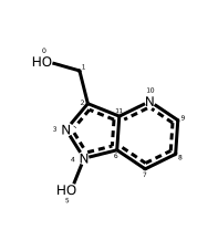 OCc1nn(O)c2cccnc12